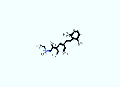 C=C/C(=C\C(CC)=C(/C)CN(C)CC)CCc1c(C)cccc1C